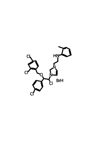 Br.Cc1ccccc1NCCN1C=CN(C(Cl)C(OCc2ccc(Cl)cc2Cl)c2ccc(Cl)cc2)C1